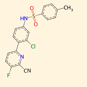 Cc1ccc(S(=O)(=O)Nc2ccc(-c3ccc(F)c(C#N)n3)c(Cl)c2)cc1